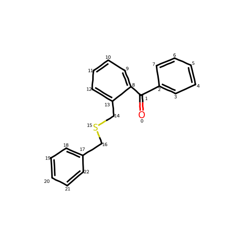 O=C(c1ccccc1)c1ccccc1CSCc1ccccc1